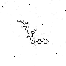 N[C@@H](CC(=O)O)C(=O)NCCCCC(=O)N(C[C@H]1CN(c2ccc(N3CCOCC3=O)cc2F)C(=O)O1)C(=O)c1ccc(Cl)s1